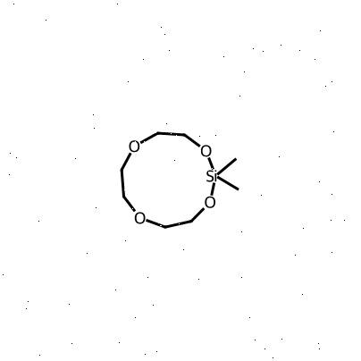 C[Si]1(C)OCCOCCOCCO1